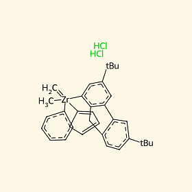 Cl.Cl.[CH2]=[Zr]([CH3])([C]1=CC=CC1)([c]1ccccc1)[c]1cc(C(C)(C)C)cc2c1Cc1ccc(C(C)(C)C)cc1-2